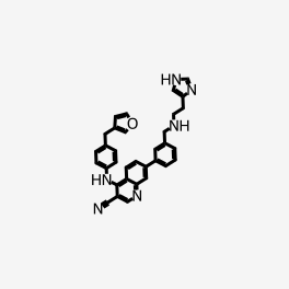 N#Cc1cnc2cc(-c3cccc(CNCCc4c[nH]cn4)c3)ccc2c1Nc1ccc(Cc2ccoc2)cc1